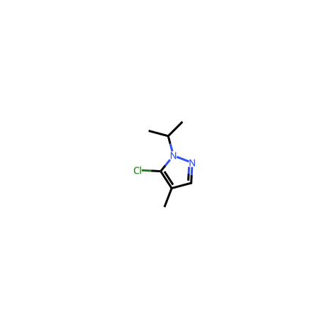 Cc1cnn(C(C)C)c1Cl